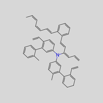 C=C/C=C(\C=Cc1ccccc1/C=C/C=C\C=C/C)N(c1ccc(C)c(C2=CCCC=C2C=C)c1)c1ccc(C=C)c(-c2ccccc2C)c1